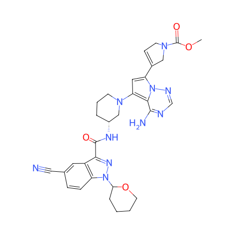 COC(=O)N1CC=C(c2cc(N3CCC[C@@H](NC(=O)c4nn(C5CCCCO5)c5ccc(C#N)cc45)C3)c3c(N)ncnn23)C1